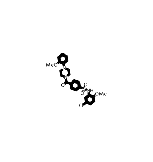 COc1ccc(Cl)cc1NS(=O)(=O)c1ccc(C(=O)N2CCN(c3ccccc3OC)CC2)cc1